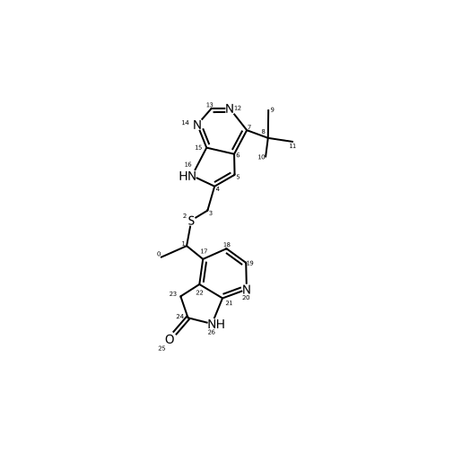 CC(SCc1cc2c(C(C)(C)C)ncnc2[nH]1)c1ccnc2c1CC(=O)N2